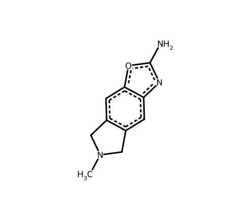 CN1Cc2cc3nc(N)oc3cc2C1